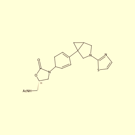 CC(=O)NC[C@H]1CN(C2C=CC(C34CC3CN(c3nccs3)C4)=CC2)C(=O)O1